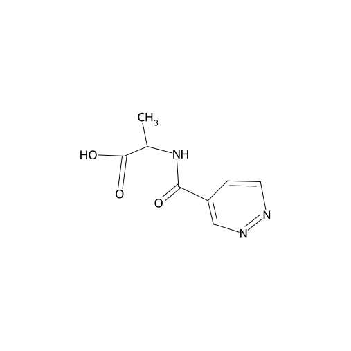 CC(NC(=O)c1ccnnc1)C(=O)O